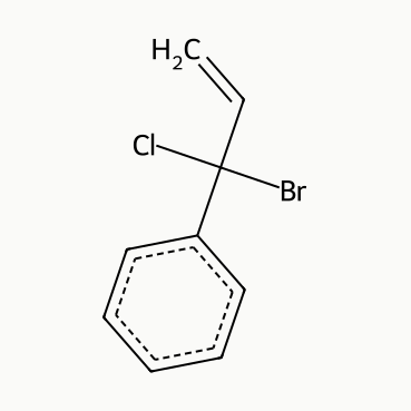 C=CC(Cl)(Br)c1ccccc1